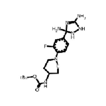 CC(C)(C)OC(=O)NC1CCN(c2ccc(C3(N)N=C(N)NN3)cc2F)CC1